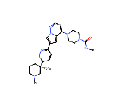 CO[C@]1(C2C=CC(c3cc4c(N5CCN(C(=O)NC(C)C)CC5)ccnn4c3)=NC2)CCCN(C(C)C)C1